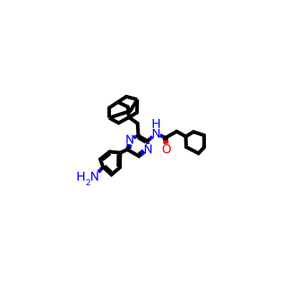 Nc1ccc(-c2cnc(NC(=O)CC3CCCCC3)c(CC34CC5CC(CC(C5)C3)C4)n2)cc1